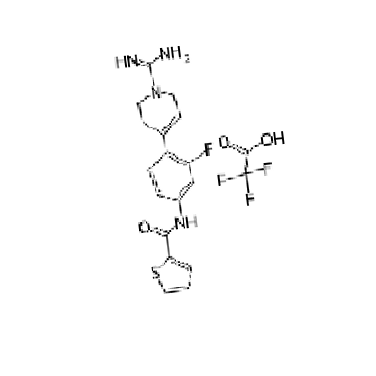 N=C(N)N1CC=C(c2ccc(NC(=O)c3cccs3)cc2F)CC1.O=C(O)C(F)(F)F